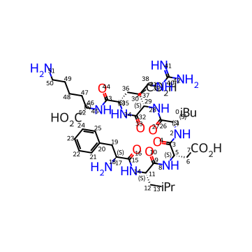 CC[C@H](C)[C@H](NC(=O)[C@H](CC(=O)O)NC(=O)[C@H](CC(C)C)NC(=O)[C@@H](N)Cc1ccccc1)C(=O)N[C@@H](CC(=O)O)C(=O)N[C@@H](CCCNC(=N)N)C(=O)N[C@@H](CCCCN)C(=O)O